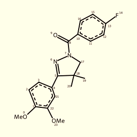 COc1ccc(C2=NN(C(=O)c3ccc(F)cc3)CC2(C)C)cc1OC